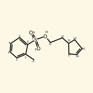 Cc1ccccc1S(=O)(=O)OCCC1CC=CC1